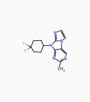 Cc1ncc2c(n1)n(C1CCC(F)(F)CC1)c1nccn21